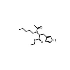 CCCCCN(C(C)=O)C(Cc1c[nH]cn1)C(=O)OCC